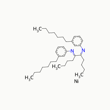 CCCCCCCc1cccc(N=C(CCCC)C(CCCC)=Nc2cccc(CCCCCCC)c2)c1.[Ni]